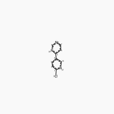 Clc1ccc(-c2ccncn2)cn1